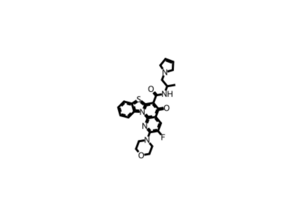 CC(CN1CC=CC1)NC(=O)c1c(=O)c2cc(F)c(N3CCOCC3)nc2n2c1sc1ccccc12